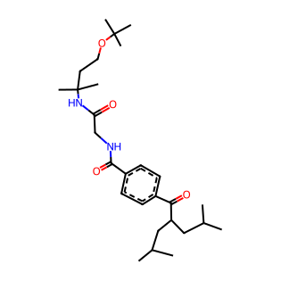 CC(C)CC(CC(C)C)C(=O)c1ccc(C(=O)NCC(=O)NC(C)(C)CCOC(C)(C)C)cc1